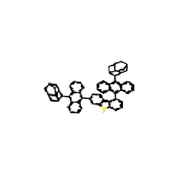 c1cc(-c2c3ccccc3c(C3C4CC5CC(C4)CC3C5)c3ccccc23)c2c(c1)sc1cc(-c3c4ccccc4c(C4C5CC6CC(C5)CC4C6)c4ccccc34)ccc12